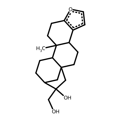 CC12CCc3occc3C1CCC13CC(CCC12)C(O)(CO)C3